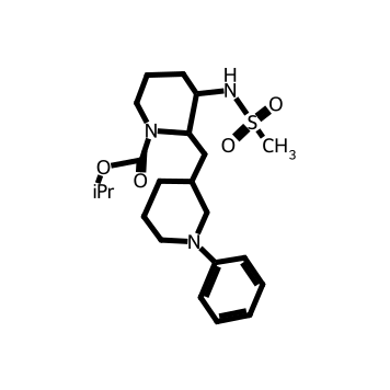 CC(C)OC(=O)N1CCCC(NS(C)(=O)=O)C1CC1CCCN(c2ccccc2)C1